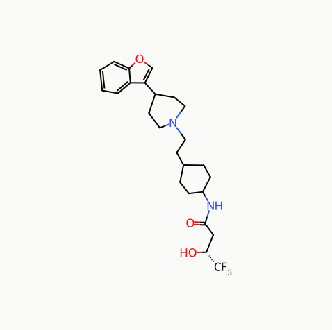 O=C(C[C@@H](O)C(F)(F)F)NC1CCC(CCN2CCC(c3coc4ccccc34)CC2)CC1